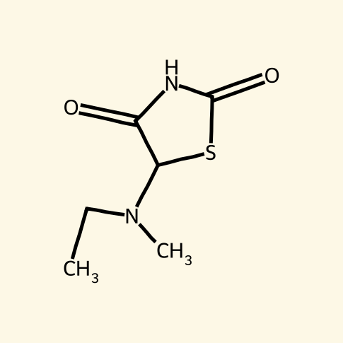 CCN(C)C1SC(=O)NC1=O